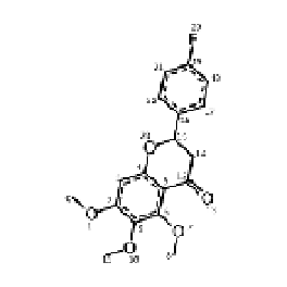 COc1cc2c(c(OC)c1OC)C(=O)CC(c1ccc(F)cc1)O2